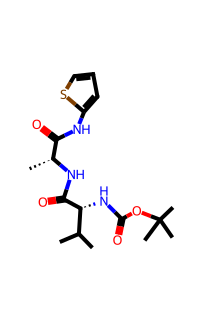 CC(C)[C@@H](NC(=O)OC(C)(C)C)C(=O)N[C@H](C)C(=O)Nc1cccs1